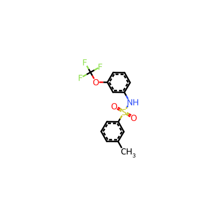 Cc1cccc(S(=O)(=O)Nc2cccc(OC(F)(F)F)c2)c1